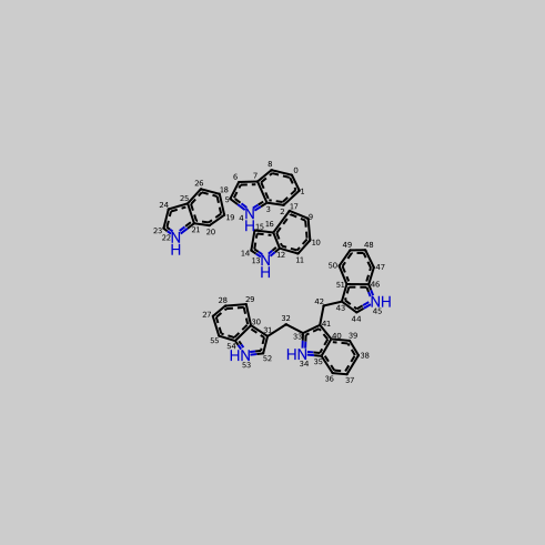 c1ccc2[nH]ccc2c1.c1ccc2[nH]ccc2c1.c1ccc2[nH]ccc2c1.c1ccc2c(Cc3[nH]c4ccccc4c3Cc3c[nH]c4ccccc34)c[nH]c2c1